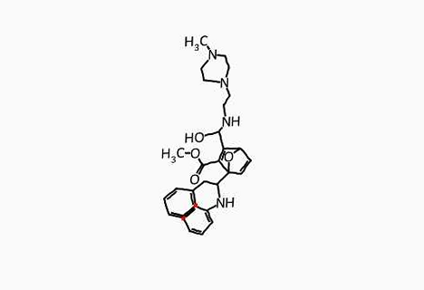 COC(=O)C1=C(C(O)NCCN2CCN(C)CC2)C2C=CC1(C(Cc1ccccc1)Nc1ccccc1)O2